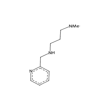 C[N]CCCNCc1ccccn1